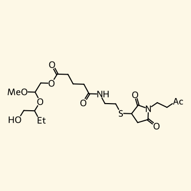 CCC(CO)OC(COC(=O)CCCC(=O)NCCSC1CC(=O)N(CCC(C)=O)C1=O)OC